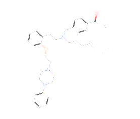 CCOC(=O)CCCCN(CCc1ccccc1OCCN1CCN(c2ccccc2)CC1)Cc1ccc(C(=O)OC)cc1